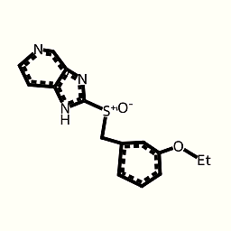 CCOc1cccc(C[S+]([O-])c2nc3cnccc3[nH]2)c1